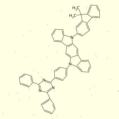 CC1(C)c2ccccc2-c2ccc(-n3c4ccccc4c4cc5c(cc43)c3ccccc3n5-c3ccc(-c4nc(-c5ccccc5)nc(-c5ccccc5)n4)cc3)cc21